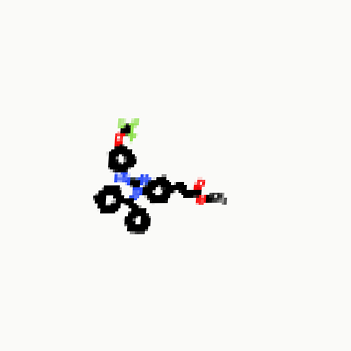 COC(=O)CCc1ccc2c(c1)nc(Nc1ccc(OC(F)(F)F)cc1)n2C(c1ccccc1)c1ccccc1